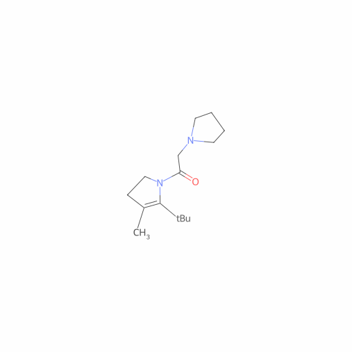 CC1=C(C(C)(C)C)N(C(=O)CN2CCCC2)CC1